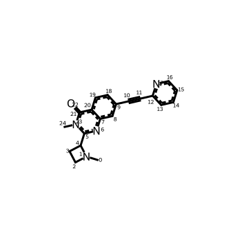 CN1CCC1c1nc2cc(C#Cc3ccccn3)ccc2c(=O)n1C